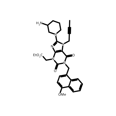 CC#CCn1c(N2CCCC(N)C2)nc2c1c(=O)n(Cc1ccc(OC)c3ccccc13)c(=O)n2CC(=O)OCC